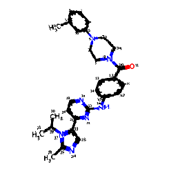 Cc1cccc(N2CCN(C(=O)c3ccc(Nc4nccc(-c5cnc(C)n5C(C)C)n4)cc3)CC2)c1